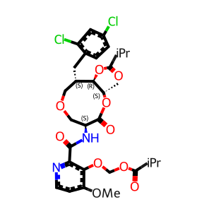 COc1ccnc(C(=O)N[C@H]2COC[C@H](Cc3ccc(Cl)cc3Cl)[C@@H](OC(=O)C(C)C)[C@H](C)OC2=O)c1OCOC(=O)C(C)C